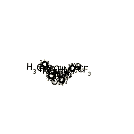 Cc1cccc2oc(-c3ccc(O)c4c3C(C)(C)CN4c3ccccc3NC(=O)Nc3ccc(OC(F)(F)F)cc3)nc12